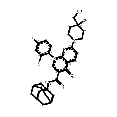 O=C(NC12CC3CC(CC(C3)C1)C2)c1cn(-c2ccc(F)cc2F)c2nc(N3CCC(O)(CO)CC3)ccc2c1=O